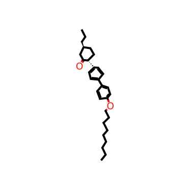 CCCCCCCCCOc1ccc(-c2ccc([C@H]3CC[C@H](CCC)CC3=O)cc2)cc1